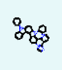 c1ccc(-n2c3ccccc3c3c4c5ccc6c(c7ncccc7c7nccn67)c5n(-c5ccccc5)c4ccc32)cc1